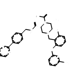 Cc1cccc(Oc2cccc(F)c2CN2C[C@@H](C)N(C(=O)C(C)C)[C@@H](C(=O)NCc3ccc(-c4ncccn4)cc3)C2)n1